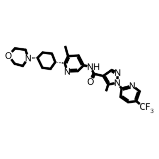 Cc1cc(NC(=O)c2cnn(-c3ccc(C(F)(F)F)cn3)c2C)cnc1[C@H]1CC[C@@H](N2CCOCC2)CC1